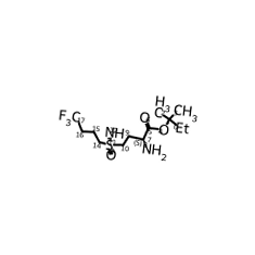 CCC(C)(C)OC(=O)[C@@H](N)CCS(=N)(=O)CCCC(F)(F)F